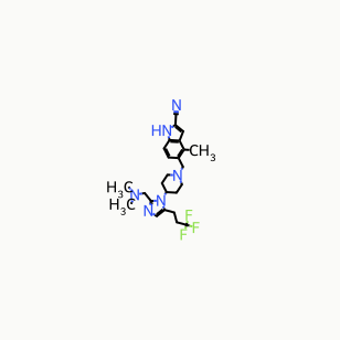 Cc1c(CN2CCC(n3c(CCC(F)(F)F)cnc3CN(C)C)CC2)ccc2[nH]c(C#N)cc12